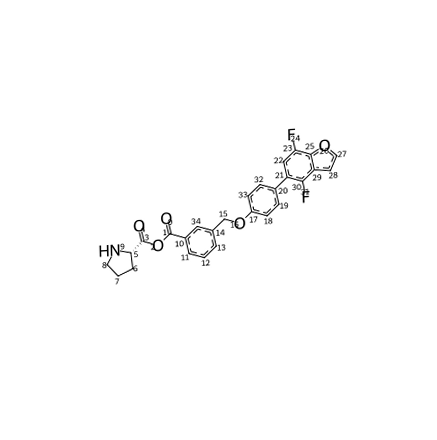 O=C(OC(=O)[C@@H]1CCCN1)c1cccc(COc2ccc(-c3cc(F)c4occc4c3F)cc2)c1